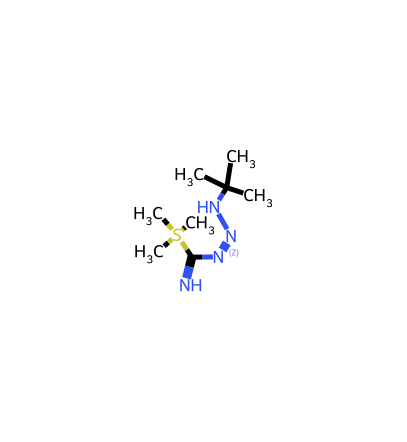 CC(C)(C)N/N=N\C(=N)S(C)(C)C